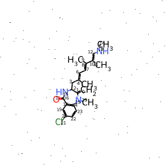 C=C1C(C/C(C)=C/C=C(C)/C(C)=C/NC)NC(=O)c2cc(Cl)ccc2N1C